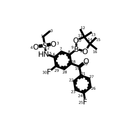 CCS(=O)(=O)Nc1cc(B2OC(C)(C)C(C)(C)O2)c(C(=O)c2ccc(F)cc2)cc1F